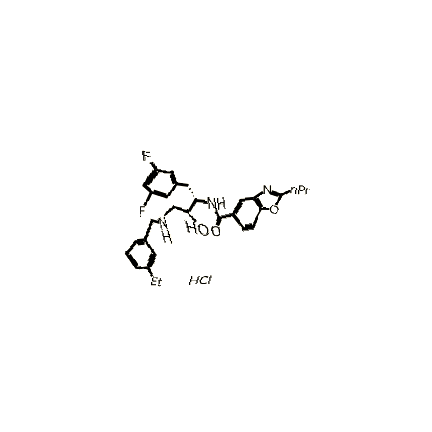 CCCc1nc2cc(C(=O)N[C@@H](Cc3cc(F)cc(F)c3)[C@@H](O)CNCc3cccc(CC)c3)ccc2o1.Cl